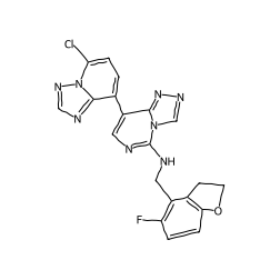 Fc1ccc2c(c1CNc1ncc(-c3ccc(Cl)n4ncnc34)c3nncn13)CCO2